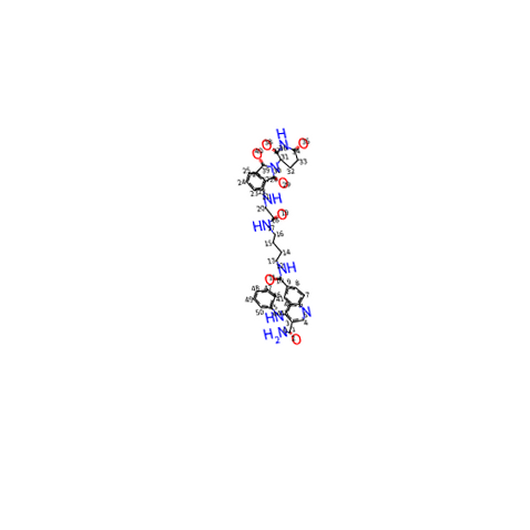 NC(=O)c1cnc2ccc(C(=O)NCCCCNC(=O)CNc3cccc4c3C(=O)N(C3CCC(=O)NC3=O)C4=O)cc2c1Nc1ccccc1